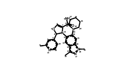 Cc1cc(C2OC=C(C(N)=O)N2c2cc3c(C)nn(C)c3cc2N2CCCCC2)ccn1